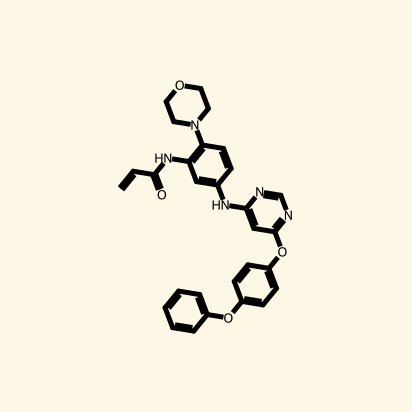 C=CC(=O)Nc1cc(Nc2cc(Oc3ccc(Oc4ccccc4)cc3)ncn2)ccc1N1CCOCC1